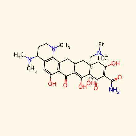 CCN(C)C[C@]12CC(O)=C(C(N)=O)C(=O)[C@@]1(O)C(O)=C1C(=O)c3c(O)cc4c(c3CC1C2)N(C)CCC4N(C)C